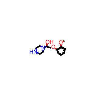 COc1ccccc1OCC(O)N1CCNCC1